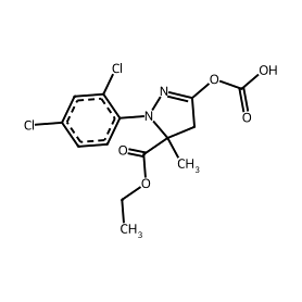 CCOC(=O)C1(C)CC(OC(=O)O)=NN1c1ccc(Cl)cc1Cl